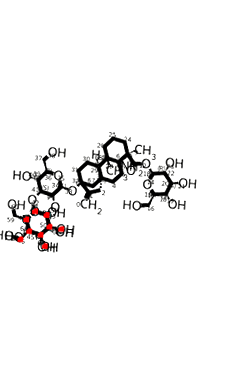 C=C1C[C@@]23CC[C@]4(N)[C@](C)(C(=O)O[C@@H]5O[C@H](CO)[C@@H](O)[C@H](O)[C@H]5O)CCC[C@@]4(C)[C@@H]2CC[C@]1(O[C@@H]1O[C@H](CO)[C@@H](O)[C@H](O[C@@H]2O[C@H](CO)[C@@H](O)[C@H](O)[C@H]2O)[C@H]1O[C@@H]1O[C@H](CO)[C@@H](O)[C@H](O)[C@H]1O)C3